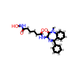 CN1C(=O)C(NC(=O)CCCCC(=O)NO)N=C(c2ccccc2)c2ccccc21